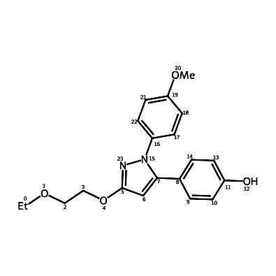 CCOCCOc1cc(-c2ccc(O)cc2)n(-c2ccc(OC)cc2)n1